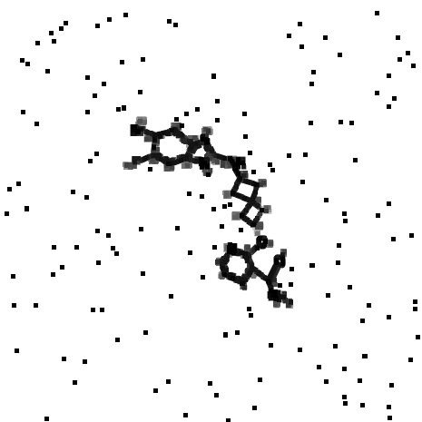 NC(=O)c1cccnc1O[C@H]1CC2(C[C@H](Nc3nc4cc(F)c(Br)cc4s3)C2)C1